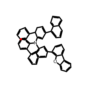 C1=C(c2cccc3ccccc23)C=C(N(c2cccc(-c3cccc4c3oc3ccccc34)c2)c2ccccc2-c2ccccc2)C(c2ccccc2)C1